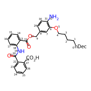 CCCCCCCCCCCCCCOc1cc(COC(=O)c2ccccc2NC(=O)c2ccccc2C(=O)O)ccc1N